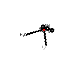 CCCCCCCCCCCCS(=O)(=O)C1(S(=O)(=O)CCCCCCCCCCCC)C=CC=c2[nH]c3cc4c(cc3c21)N=c1ccccc1=4